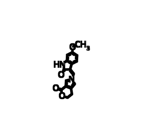 COc1ccc2c(c1)NC(=O)C2=Cn1cc2c(c1)C(=O)OCC2